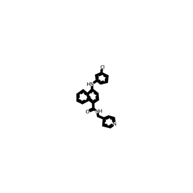 O=C(NCc1ccncc1)c1ccc(Nc2cccc(Cl)c2)c2ccccc12